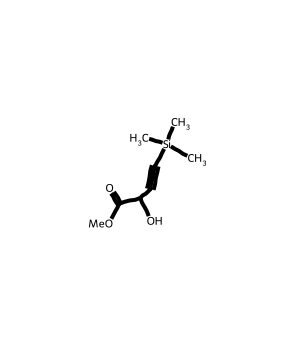 COC(=O)C(O)C#C[Si](C)(C)C